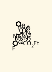 CCOC(=O)COc1cc(F)ccc1-n1ncc2c(OCc3ccccc3)nc(N3CCCC34CCN(C(=O)OC(C)(C)C)C4)nc21